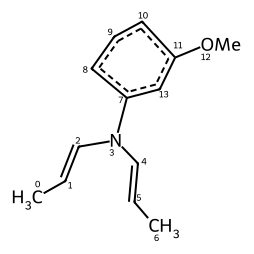 CC=CN(C=CC)c1cccc(OC)c1